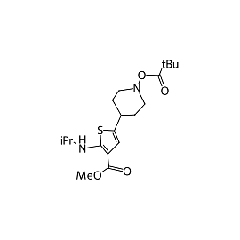 COC(=O)c1cc(C2CCN(OC(=O)C(C)(C)C)CC2)sc1NC(C)C